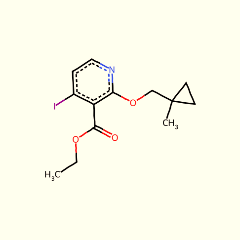 CCOC(=O)c1c(I)ccnc1OCC1(C)CC1